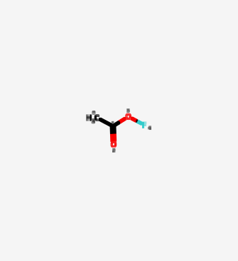 CC(=O)OF